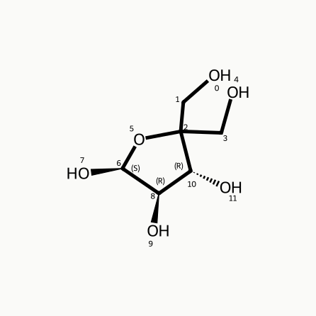 OCC1(CO)O[C@H](O)[C@H](O)[C@H]1O